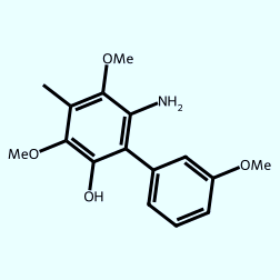 COc1cccc(-c2c(N)c(OC)c(C)c(OC)c2O)c1